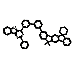 CC1(C)c2ccc(-c3cccc(-c4cccc(-c5nc(-c6ccccc6)nc6c5oc5ccccc56)c4)c3)cc2-c2cc3c(cc21)-c1ccccc1C31CCCCC1